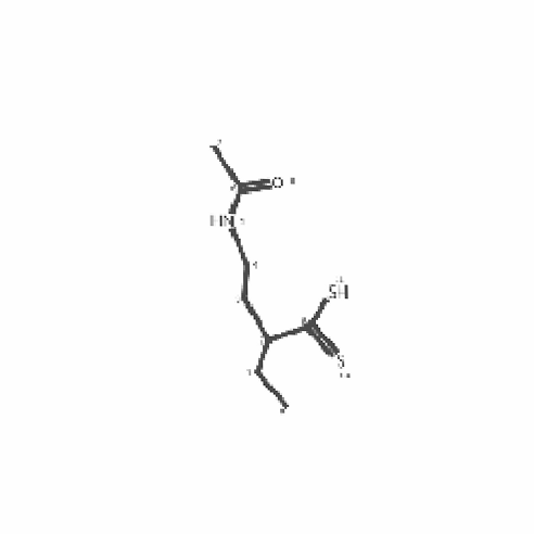 CCC(CCNC(C)=O)C(=S)S